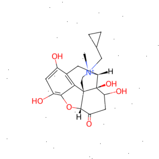 C[N@+]1(CC2CC2)CC[C@]23c4c5c(O)cc(O)c4O[C@H]2C(=O)CC(O)[C@@]3(O)[C@H]1C5